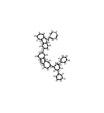 C1=CCC=CC(n2c3ccccc3c3cc(-c4ccc5sc6ccc(-c7cc(-c8ccccc8)cc(-c8ccccc8)n7)cc6c5c4)ccc32)=C1